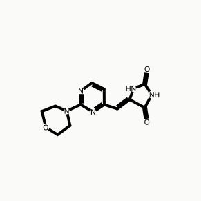 O=C1NC(=O)/C(=C/c2ccnc(N3CCOCC3)n2)N1